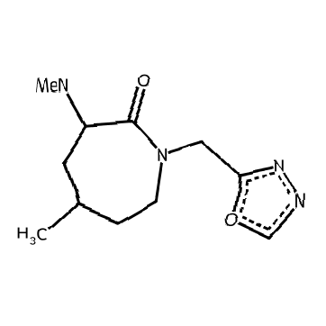 CNC1CC(C)CCN(Cc2nnco2)C1=O